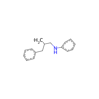 [CH2]C(CNc1ccccc1)Cc1ccccc1